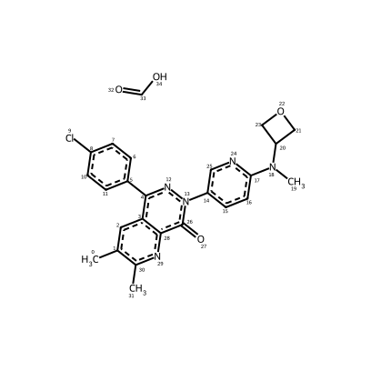 Cc1cc2c(-c3ccc(Cl)cc3)nn(-c3ccc(N(C)C4COC4)nc3)c(=O)c2nc1C.O=CO